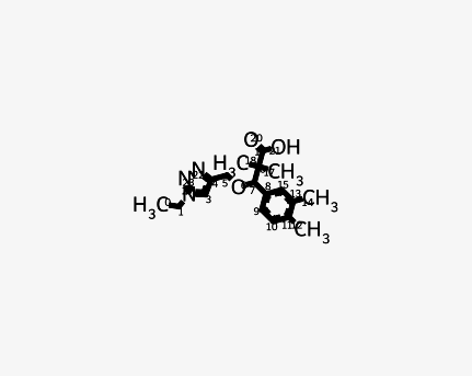 CCn1cc(COC(c2ccc(C)c(C)c2)C(C)(C)C(=O)O)nn1